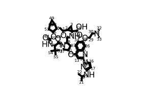 CCC1CC1(NC(=O)C1C[C@@H](Oc2cc(-n3ccc(NC(C)C)n3)nc3cc(OCCN(C)C)ccc23)CN1C(=O)[C@@H](NC(=O)OC1CC2CC2C1)C(C)(C)C)C(=O)O